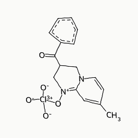 CC1=CC2=[N+](O[Cl+3]([O-])([O-])[O-])CC(C(=O)c3ccccc3)CN2C=C1